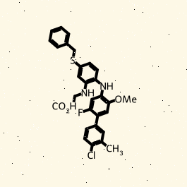 COc1cc(-c2ccc(Cl)c(C)c2)c(F)cc1Nc1ccc(SCc2ccccc2)cc1NCC(=O)O